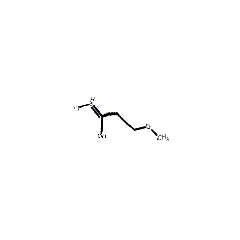 [2H]/[SH]=C(\O)CCOC